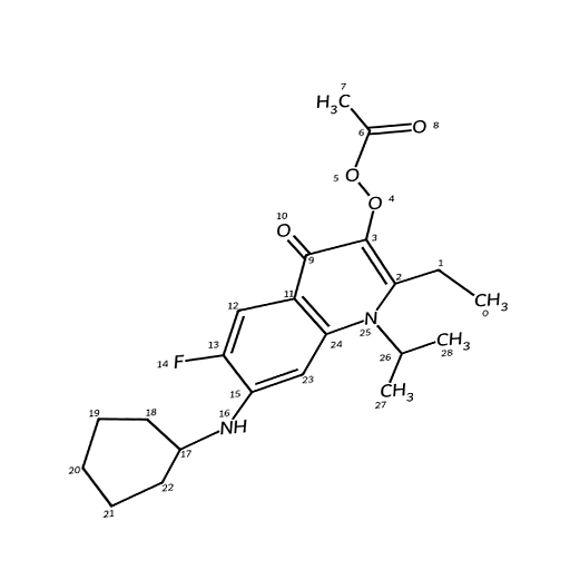 CCc1c(OOC(C)=O)c(=O)c2cc(F)c(NC3CCCCC3)cc2n1C(C)C